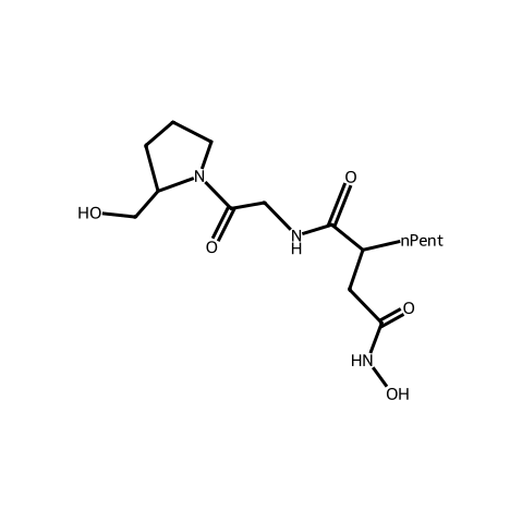 CCCCCC(CC(=O)NO)C(=O)NCC(=O)N1CCCC1CO